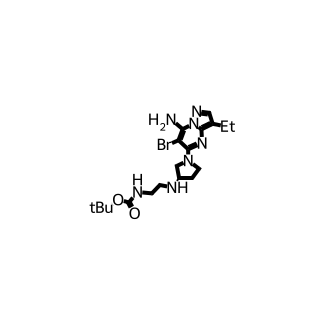 CCc1cnn2c(N)c(Br)c(N3CC[C@H](NCCNC(=O)OC(C)(C)C)C3)nc12